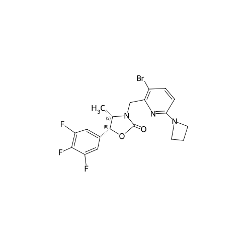 C[C@H]1[C@@H](c2cc(F)c(F)c(F)c2)OC(=O)N1Cc1nc(N2CCC2)ccc1Br